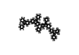 c1ccc(-n2c3ccccc3c3cc(-c4ccc5c(c4)c4cc(-c6ccccc6-c6ccc7c(c6)c6cc(-c8ccc9c(c8)c8ccccc8n9-c8ccccc8)ccc6n7-c6ccccc6)ccc4n5-c4ccccc4)ccc32)cc1